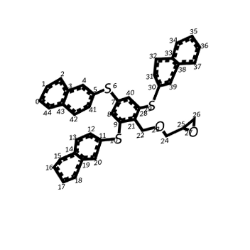 c1ccc2cc(Sc3cc(Sc4ccc5ccccc5c4)c(COCC4CO4)c(Sc4ccc5ccccc5c4)c3)ccc2c1